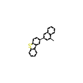 Cc1cc(-c2ccc3sc4ccccc4c3c2)cc2ccccc12